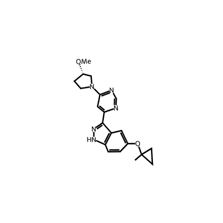 CO[C@H]1CCN(c2cc(-c3n[nH]c4ccc(OC5(C)CC5)cc34)ncn2)C1